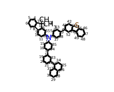 CC1(C)c2ccccc2-c2ccc(N(c3ccc(-c4cccc(-c5cccc6ccccc56)c4)cc3)c3ccc(-c4ccc5sc6ccccc6c5c4)cc3)cc21